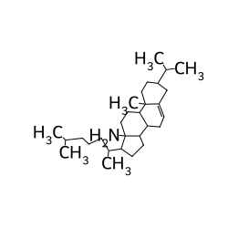 CC(C)CCCC(C)C1CCC2C3CC=C4CC(C(C)C)CCC4(C)C3CCC12N